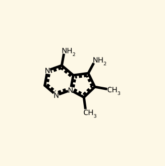 Cc1c(N)c2c(N)ncnn2c1C